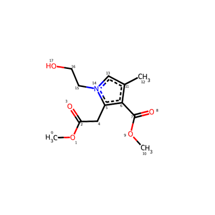 COC(=O)Cc1c(C(=O)OC)c(C)cn1CCO